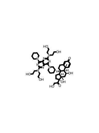 C[C@]12C=CC(=O)C=C1CC[C@@H]1[C@@H]2[C@@H](O)C[C@@]2(C)[C@H]1CC[C@]2(O)C(=O)CO.OCCN(CCO)c1nc(N2CCCCC2)c2nc(N(CCO)CCO)nc(N3CCCCC3)c2n1